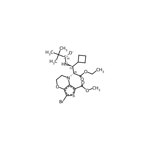 CCOC(=O)[C@@H]([C@@H](N[S@@+]([O-])C(C)(C)C)C1CCC1)N1CCOc2c(Br)sc(C(=O)OC)c21